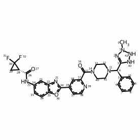 CN1N=C([C@@H](c2ccccc2)N2CCN(C(=O)c3cc(-c4nc5cc(NC(=O)[C@@H]6CC6(F)F)ccc5o4)ccn3)CC2)NN1